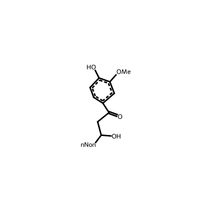 CCCCCCCCCC(O)CC(=O)c1ccc(O)c(OC)c1